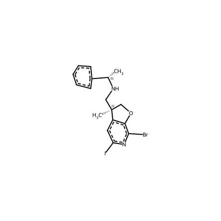 C[C@H](NC[C@@]1(C)COc2c1cc(I)nc2Br)c1ccccc1